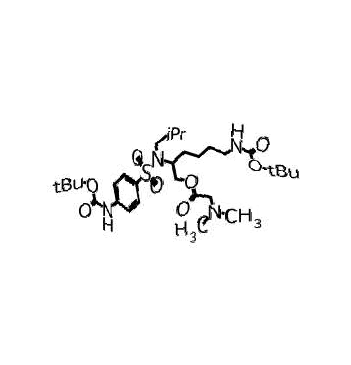 CC(C)CN(C(CCCCNC(=O)OC(C)(C)C)COC(=O)CN(C)C)S(=O)(=O)c1ccc(NC(=O)OC(C)(C)C)cc1